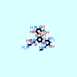 CCNC[C@H]1O[C@H](O[C@H]2[C@H](O)[C@@H](O[C@H]3O[C@H](CO)[C@@H](O)[C@H](N)[C@H]3O)[C@H](NC(=O)N(O)CCN)C[C@@H]2N)[C@H](N)C[C@@H]1O